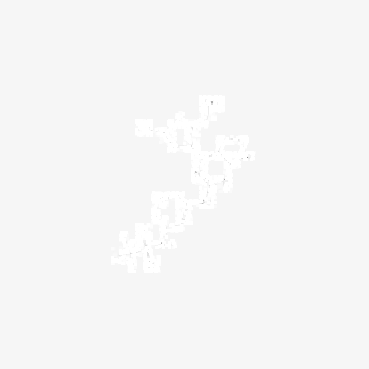 CC(C)(C)S(=O)(=O)Nc1cccc(Nc2nc(N3CC(O)CC3CO)c3cc[nH]c3n2)c1